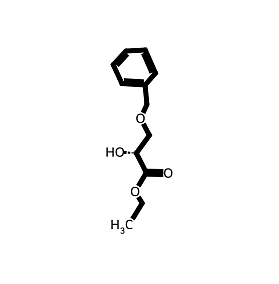 CCOC(=O)[C@H](O)COCc1ccccc1